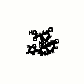 O=C(O)c1cc(Cl)ccc1Nc1c([C@H]2CCCO2)cnc2ccc(Cl)cc12